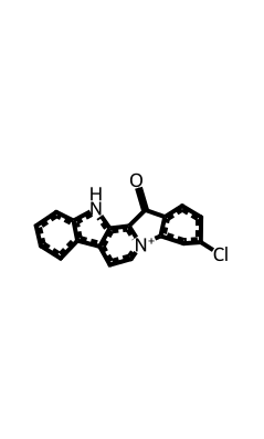 O=C1c2ccc(Cl)cc2-[n+]2ccc3c([nH]c4ccccc43)c21